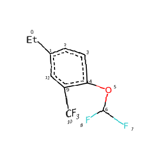 CCc1ccc(OC(F)F)c(C(F)(F)F)c1